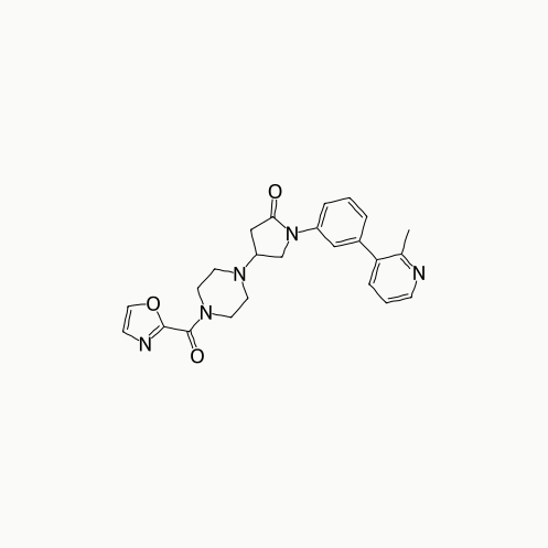 Cc1ncccc1-c1cccc(N2CC(N3CCN(C(=O)c4ncco4)CC3)CC2=O)c1